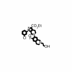 CCOC(=O)c1nn(-c2cccc(Cl)c2)c2c1CCN(c1cc3c(cc1F)CCN(CCO)C3)C2=O